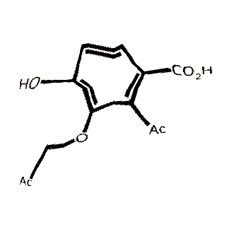 CC(=O)COc1c(O)ccc(C(=O)O)c1C(C)=O